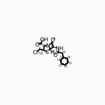 C[C@@]1(CCl)S[C@@H]2[C@H](NC(=O)Cc3ccccc3)C(=O)N2[C@H]1C(=O)O